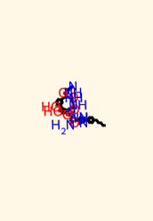 CCCCCc1ccc(-c2ncc(C(=O)N[C@@H](CCN)C(=O)N(C)[C@@H]3C(=O)N[C@@H](C)C(=O)N[C@H](C(=O)NCC#N)Cc4ccc(O)c(c4)-c4cc3ccc4O)c(C)n2)cc1